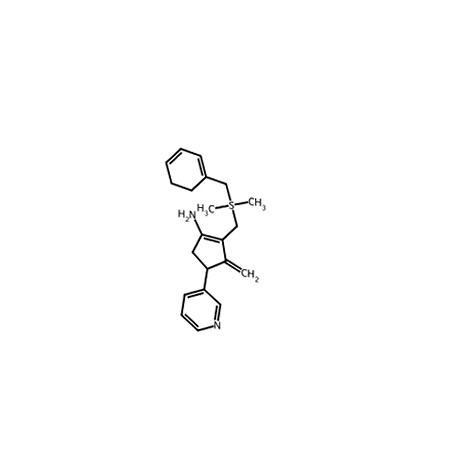 C=C1C(CS(C)(C)CC2=CC=CCC2)=C(N)CC1c1cccnc1